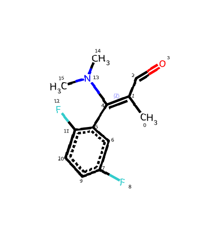 C/C(C=O)=C(\c1cc(F)ccc1F)N(C)C